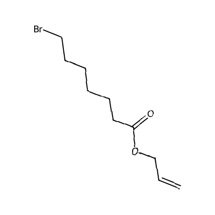 C=CCOC(=O)CCCCCCBr